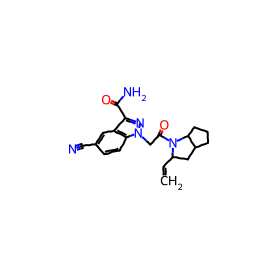 C=CC1CC2CCCC2N1C(=O)Cn1nc(C(N)=O)c2cc(C#N)ccc21